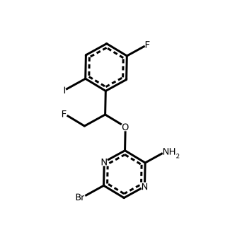 Nc1ncc(Br)nc1OC(CF)c1cc(F)ccc1I